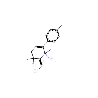 CC/C=C1\C(C)(CC)CC=C(c2ccc(C)cc2)C1(C)N